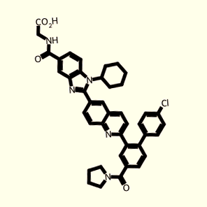 O=C(O)CNC(=O)c1ccc2c(c1)nc(-c1ccc3nc(-c4cc(C(=O)N5CCCC5)ccc4-c4ccc(Cl)cc4)ccc3c1)n2C1CCCCC1